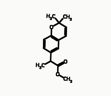 COC(=O)C(C)c1ccc2c(c1)C=CC(C)(C)O2